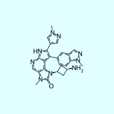 Cn1cc(-c2[nH]c3ncc4c(c3c2-c2ccc3c(cnn3C)c2)n([C@H]2C[C@@H](N)C2)c(=O)n4C)cn1